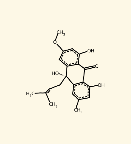 COc1cc(O)c2c(c1)[C@](O)(CC=C(C)C)c1cc(C)cc(O)c1C2=O